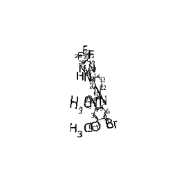 COc1cc2c(cc1Br)nc(N1CCC[C@@H](Nc3ncc(C(F)(F)F)cn3)C1)n2C